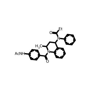 CCC(=O)N(c1ccccc1)C1CC(C)N(C(=O)c2ccc(NC(C)=O)cc2)c2ccccc21